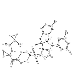 C[C@@]1(Cc2ccc(Br)cc2)C(=O)N(c2cc(Cl)cc(Cl)c2)c2ncc(S(=O)(=O)N3CCN(C(=O)C4(OC(=O)C5(O)CC5)CC4)CC3)n21